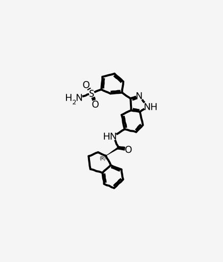 NS(=O)(=O)c1cccc(-c2n[nH]c3ccc(NC(=O)[C@@H]4CCCc5ccccc54)cc23)c1